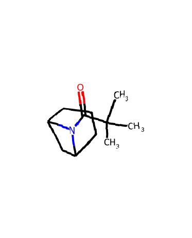 CC(C)(C)C(=O)N1C2CCCC1C2